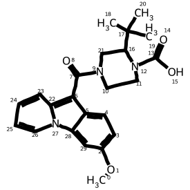 COc1ccc2c(C(=O)N3CCN(C(=O)O)C(C(C)(C)C)C3)c3ccccn3c2c1